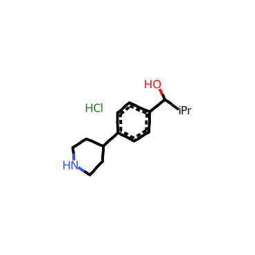 CC(C)C(O)c1ccc(C2CCNCC2)cc1.Cl